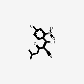 CC(C)CC(=O)C(C#N)=C(O)c1ccc(Cl)cc1[N+](=O)[O-]